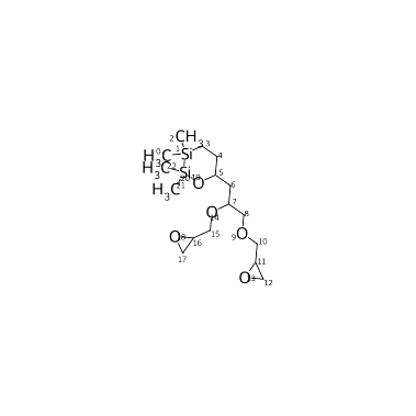 C[Si]1(C)CCC(CC(COCC2CO2)OCC2CO2)O[Si]1(C)C